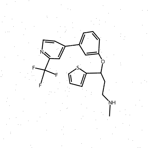 CNCCC(Oc1cccc(-c2ccnc(C(F)(F)F)c2)c1)c1cccs1